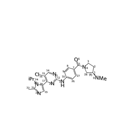 CN[C@@H]1CCN(C(=O)c2ccc(Nc3ncc(Cl)c(-c4cnc(C)n4C(C)C)n3)cc2)C1